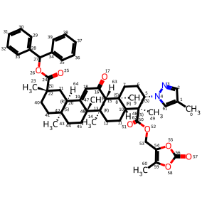 Cc1cnn([C@H]2CC[C@@]3(C)[C@@H](CC[C@]4(C)[C@@H]3C(=O)C=C3[C@@H]5C[C@@](C)(C(=O)OC(c6ccccc6)c6ccccc6)CC[C@]5(C)CC[C@]34C)[C@]2(C)C(=O)OCc2oc(=O)oc2C)c1